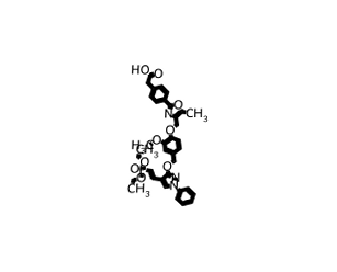 CCOP(=O)(C=Cc1cn(-c2ccccc2)nc1OCc1ccc(OCc2nc(-c3ccc(CC(=O)O)cc3)oc2C)c(OC)c1)OCC